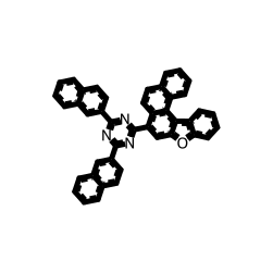 c1ccc2cc(-c3nc(-c4ccc5ccccc5c4)nc(-c4cc5oc6ccccc6c5c5c4ccc4ccccc45)n3)ccc2c1